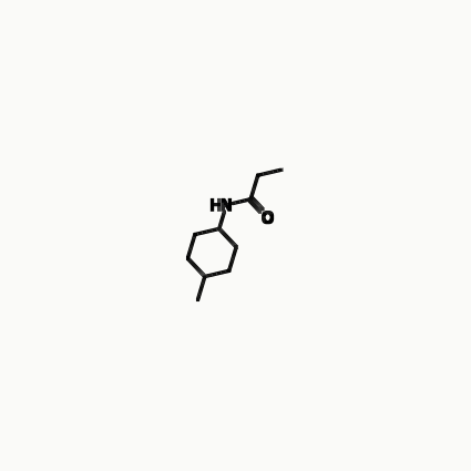 CCC(=O)NC1CCC(C)CC1